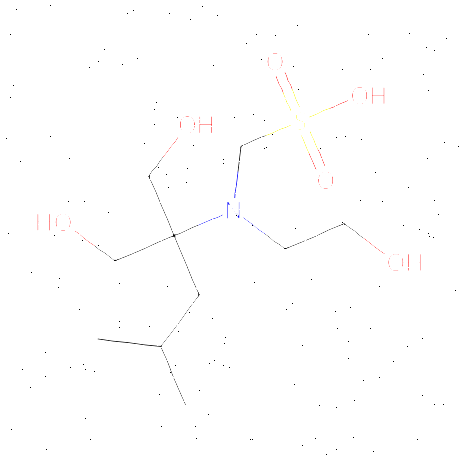 CC(C)CC(CO)(CO)N(CCO)CS(=O)(=O)O